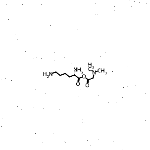 CN(C)CC(=O)OC(=O)[C@@H](N)CCCCN